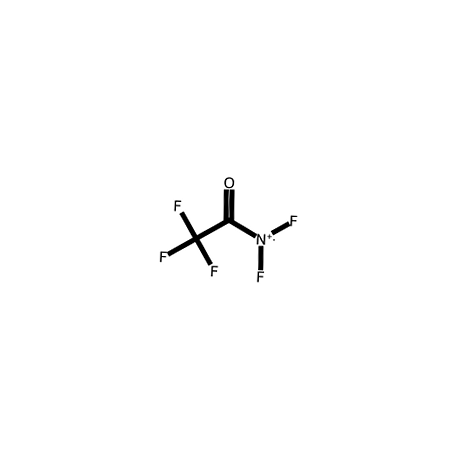 O=C([N+](F)F)C(F)(F)F